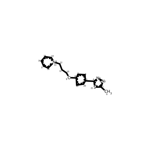 Cc1nnc(-c2ccc(OCCC[n+]3ccccc3)cc2)s1